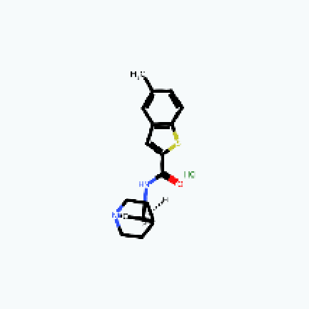 Cc1ccc2sc(C(=O)N[C@@H]3CN4CCC3CC4)cc2c1.Cl